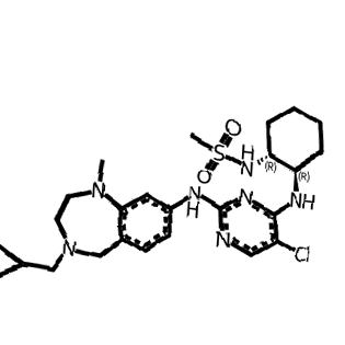 CN1CCN(CC2CC2)Cc2ccc(Nc3ncc(Cl)c(N[C@@H]4CCCC[C@H]4NS(C)(=O)=O)n3)cc21